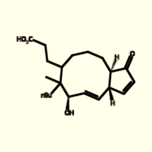 CCCCC1(C)C(CCC(=O)O)CCC[C@H]2C(=O)C=C[C@@H]2/C=C/[C@H]1O